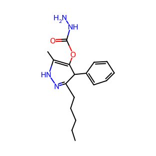 CCCCCC1=NNC(C)=C(OC(=O)NN)C1c1ccccc1